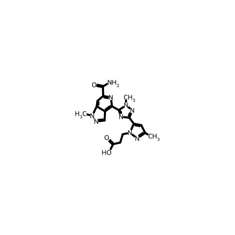 Cc1cc(-c2nc(-c3nc(C(N)=O)cc4c3cnn4C)n(C)n2)n(CCC(=O)O)n1